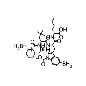 BC[C@@H]1CCC[C@H](CB)N1C(=O)N[C@@H](CC(C)(C)C)C(=O)N[C@H](Cc1cn(C(=O)OC)c2ccc(B)cc12)C(=O)N[C@H](CCCC)C(=O)O